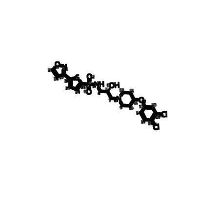 O=S(=O)(NC[C@H](O)CN1CCC(Oc2ccc(Cl)c(Cl)c2)CC1)c1ccc(-c2ccon2)s1